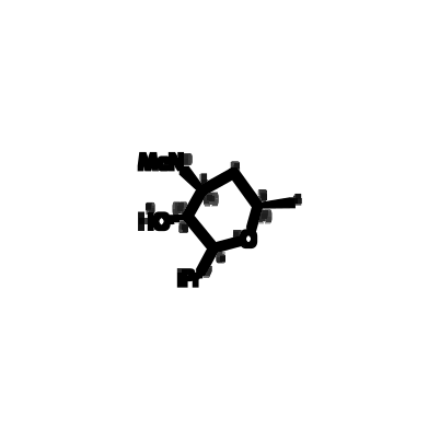 CN[C@H]1C[C@@H](C)OC(C(C)C)[C@@H]1O